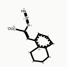 N=[N+]=N/C(=C\c1cccc2c1CCCC2)C(=O)[O-]